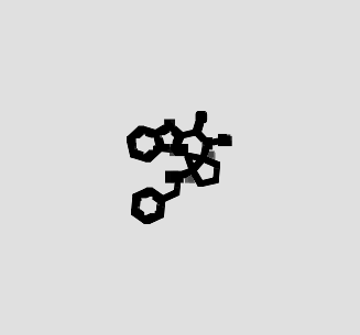 CCN(C(=O)c1nc2ccccc2[nH]1)[C@@]12CCC[C@]1(NCc1ccccc1)C2